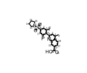 Cc1cc(-c2c(F)cc(S(=O)(=O)N3CCCC3)cc2F)nc2cc(C(=O)O)ccc12